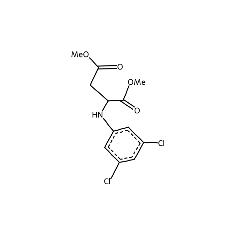 COC(=O)CC(Nc1cc(Cl)cc(Cl)c1)C(=O)OC